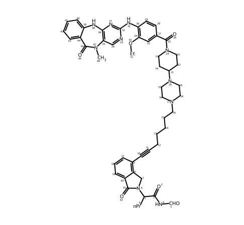 CCCC(C(=O)NC=O)N1Cc2c(C#CCCCCCN3CCN(C4CCN(C(=O)c5ccc(Nc6ncc7c(n6)Nc6ccccc6C(=O)N7C)c(OCC)c5)CC4)CC3)cccc2C1=O